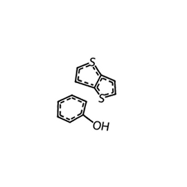 Oc1ccccc1.c1cc2sccc2s1